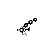 CC1CNCC(NC(=O)C2CC2)(Nc2ccc(C3CCN(C4CCCC4)CC3)cc2)C1